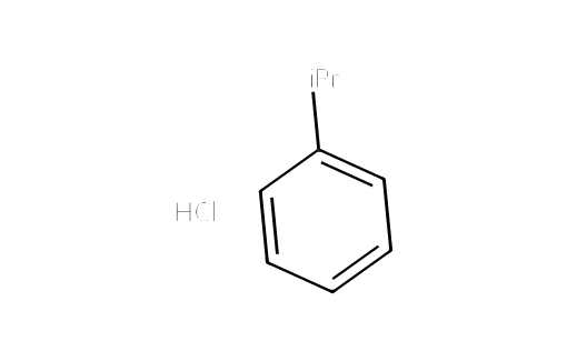 CC(C)c1ccccc1.Cl